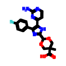 CC1(C(=O)O)COC(c2nc(-c3ccc(F)cc3)c(-c3ccnc(N)n3)[nH]2)OC1